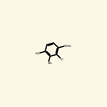 CCC(C)c1c(O)ccc(NC(C)=O)c1Cl